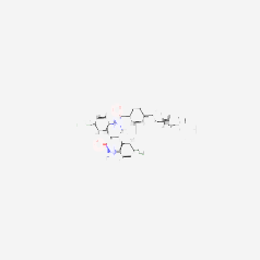 CCN(C(=O)[C@H]1C[C@H](C)N(C(=O)c2ccc(CCC(C)(C)C(=O)O)cc2)c2ccc(Cl)cc21)c1ccc(Cl)cc1